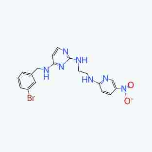 O=[N+]([O-])c1ccc(NCCNc2nccc(NCc3cccc(Br)c3)n2)nc1